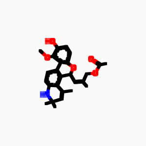 COc1c(O)ccc2c1-c1ccc3c(c1C(C=C(C)COC(C)=O)O2)C(C)=CC(C)(C)N3